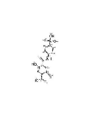 O=C(O)c1cc(O)c(C(=O)Nc2ccc(S(=O)(=O)O)cc2)cc1O